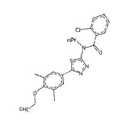 CCCN(C(=O)c1ccccc1Cl)c1nnc(-c2cc(C)c(OCC=O)c(C)c2)s1